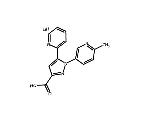 Cc1ccc(-n2nc(C(=O)O)cc2-c2ccccn2)cn1.[LiH]